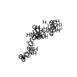 CC(C)CC(NC(=O)Cc1ccc(NC(=O)Nc2ccc([N+](=O)[O-])cc2)cc1)C(=O)NC(CCCCC(NC(=O)CC(C)(C)C)C(=O)O)C(=O)O